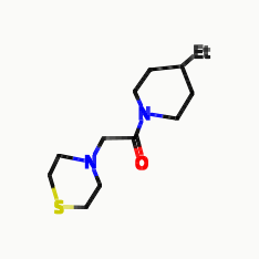 CCC1CCN(C(=O)CN2CCSCC2)CC1